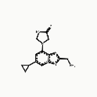 NCc1nc2c(N3CNC(=O)C3)cc(C3CC3)cn2n1